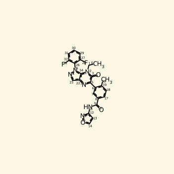 CCn1c(=O)c(-c2cc(C(=O)Nc3ccon3)ccc2C)nc2cnn(-c3c(F)cccc3F)c21